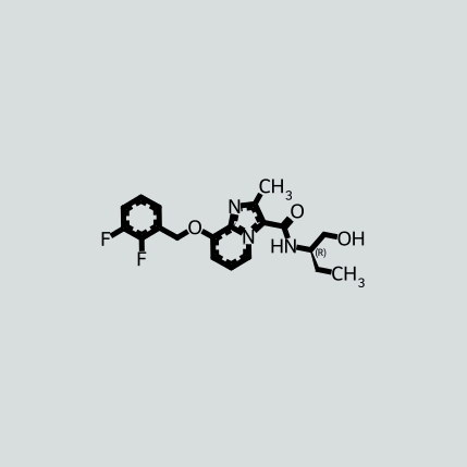 CC[C@H](CO)NC(=O)c1c(C)nc2c(OCc3cccc(F)c3F)cccn12